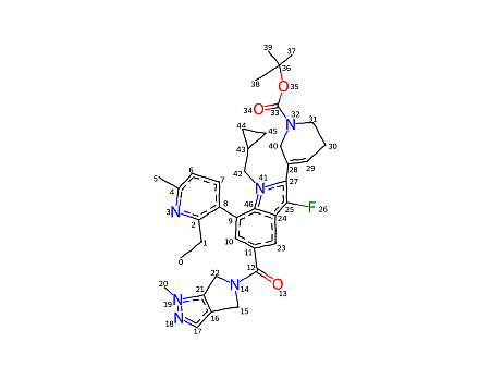 CCc1nc(C)ccc1-c1cc(C(=O)N2Cc3cnn(C)c3C2)cc2c(F)c(C3=CCCN(C(=O)OC(C)(C)C)C3)n(CC3CC3)c12